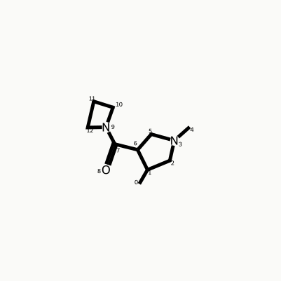 CC1CN(C)CC1C(=O)N1CCC1